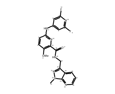 COc1ccc(Nc2cc(F)nc(F)c2)nc1C(=O)NCc1nn(C)c2ncccc12